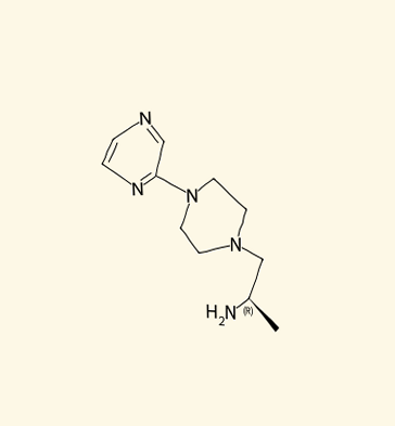 C[C@@H](N)CN1CCN(c2cnccn2)CC1